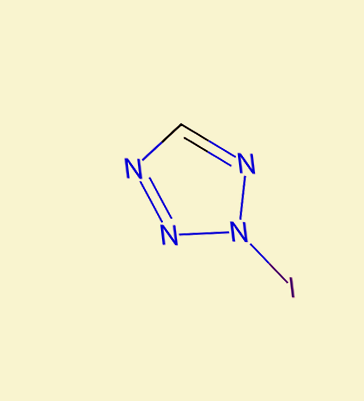 In1ncnn1